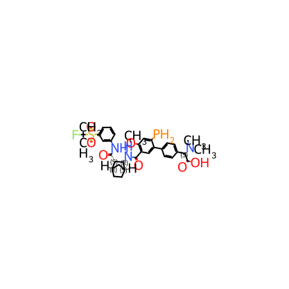 COc1cc(P)c(-c2ccc([C@@H](C(=O)O)N(C)C)cc2)cc1C(=O)N[C@@H]1[C@H]2CC[C@H](C2)[C@@H]1C(=O)Nc1cccc(S(=O)(=O)C(C)(C)F)c1